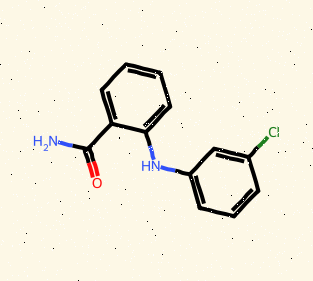 NC(=O)c1ccccc1Nc1cccc(Cl)c1